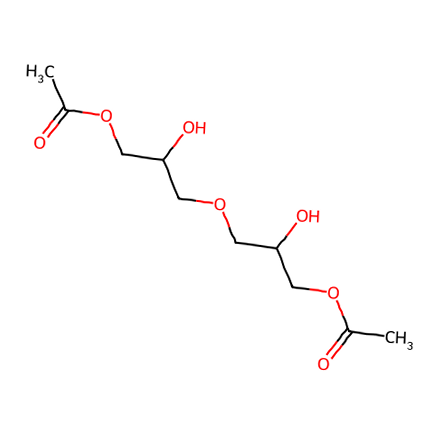 CC(=O)OCC(O)COCC(O)COC(C)=O